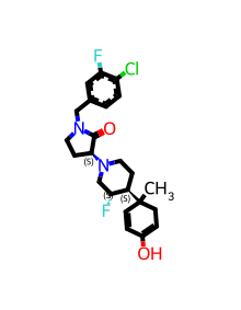 CC1([C@@H]2CCN([C@H]3CCN(Cc4ccc(Cl)c(F)c4)C3=O)C[C@H]2F)C=CC(O)=CC1